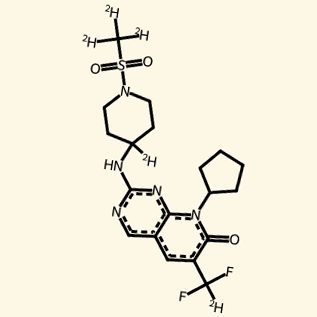 [2H]C1(Nc2ncc3cc(C([2H])(F)F)c(=O)n(C4CCCC4)c3n2)CCN(S(=O)(=O)C([2H])([2H])[2H])CC1